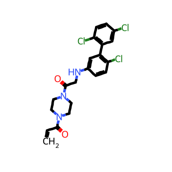 C=CC(=O)N1CCN(C(=O)CNc2ccc(Cl)c(-c3cc(Cl)ccc3Cl)c2)CC1